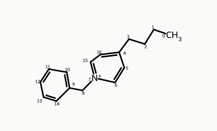 CCCCc1cc[n+](Cc2ccccc2)cc1